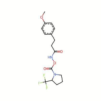 COc1ccc(CCC(=O)NOC(=O)N2CCCC2C(F)(F)F)cc1